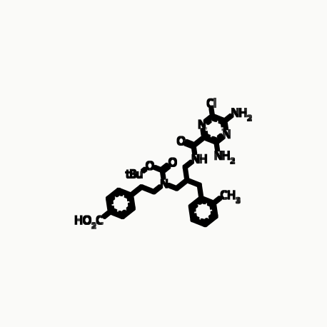 Cc1ccccc1CC(CNC(=O)c1nc(Cl)c(N)nc1N)CN(CCc1ccc(C(=O)O)cc1)C(=O)OC(C)(C)C